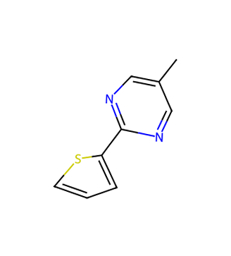 Cc1cnc(-c2cccs2)nc1